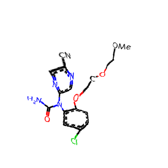 COCCOCCOc1ccc(Cl)cc1N(C(N)=O)c1cnc(C#N)cn1